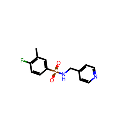 Cc1cc(S(=O)(=O)NCc2ccncc2)ccc1F